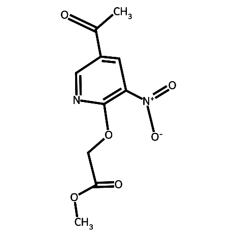 COC(=O)COc1ncc(C(C)=O)cc1[N+](=O)[O-]